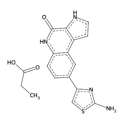 CCC(=O)O.Nc1nc(-c2ccc3[nH]c(=O)c4[nH]ccc4c3c2)cs1